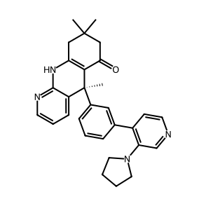 CC1(C)CC(=O)C2=C(C1)Nc1ncccc1[C@]2(C)c1cccc(-c2ccncc2N2CCCC2)c1